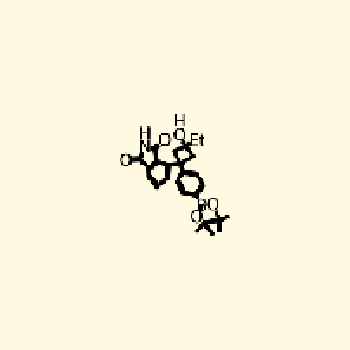 CCC1(O)CC(c2ccc(B3OC(C)(C)C(C)(C)O3)cc2)(c2cccc3c2C(=O)NC3=O)C1